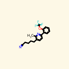 Cc1nc(-c2ccc[c]c2OC(F)(F)F)ccc1CCCCC#N